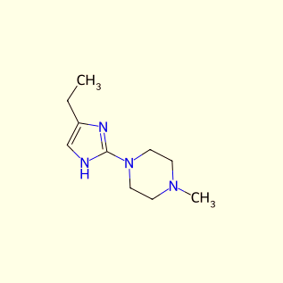 CCc1c[nH]c(N2CCN(C)CC2)n1